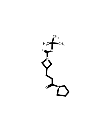 CC(C)(C)OC(=O)N1CC(CCC(=O)N2CCCC2)C1